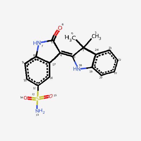 CC1(C)C(=C2C(=O)Nc3ccc(S(N)(=O)=O)cc32)Nc2ccccc21